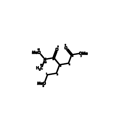 COCCC(CC(=O)OC)C(=O)N(C)OC